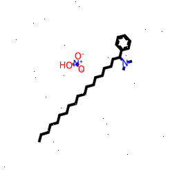 CCCCCCCCCCCCCCCCCCC(c1ccccc1)N(C)C.O=[N+]([O-])O